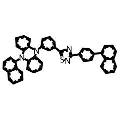 c1cc(-c2nc(-c3ccc(-c4cccc5ccccc45)cc3)ns2)cc(N2c3ccccc3N(c3cccc4ccccc34)c3ccccc32)c1